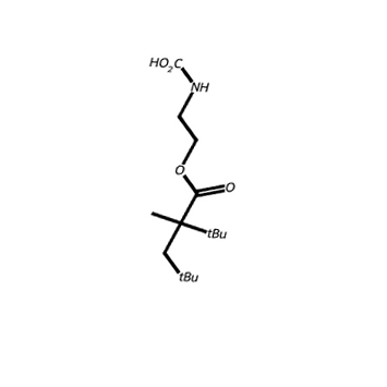 CC(C)(C)CC(C)(C(=O)OCCNC(=O)O)C(C)(C)C